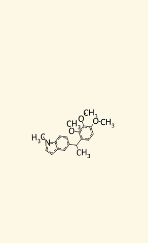 COc1ccc(C(C)c2ccc3c(ccn3C)c2)c(OC)c1OC